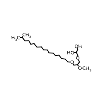 COC(COCCCCCCCCCCCCCCCC(C)C)COCC(O)CO